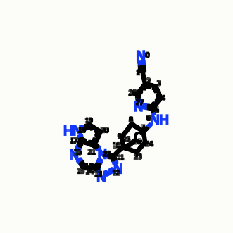 N#Cc1ccc(NC23CCC(c4nnc5cnc6[nH]ccc6n45)(CC2)CC3)nc1